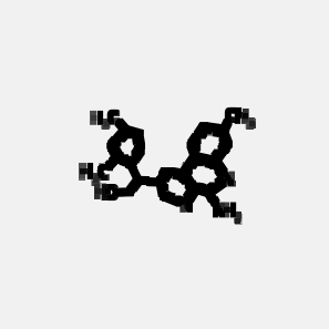 Cc1ccc(C(CO)c2cnc3c(N)nc4cc(C)ccc4c3c2)c(C)c1